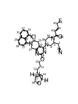 N#CCC1CN(c2nc(OCCCN3C[C@@H]4C[C@H]3CO4)nc3c2CCN(c2cccc4cccc(Cl)c24)C3)CCN1C(=O)/C=C/CF